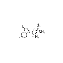 CC(C)(C)OC(=O)n1cc(I)c2cc(F)ccc21